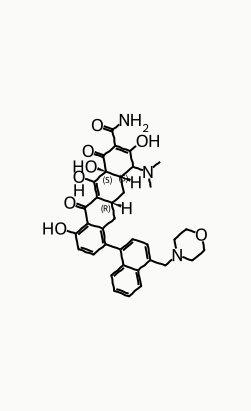 CN(C)C1C(O)=C(C(N)=O)C(=O)[C@@]2(O)C(O)=C3C(=O)c4c(O)ccc(-c5ccc(CN6CCOCC6)c6ccccc56)c4C[C@H]3C[C@@H]12